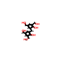 OCc1cc(CO)c(O)c(Cc2cc(CO)cc(CO)c2O)c1